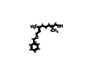 C/C(=C\CC/C(C)=C/COCc1ccccc1)CO